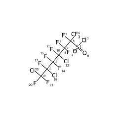 O=S(=O)(Cl)C(F)(C(F)(F)F)C(F)(F)C(F)(Cl)C(F)(F)C(F)(Cl)C(F)(F)Cl